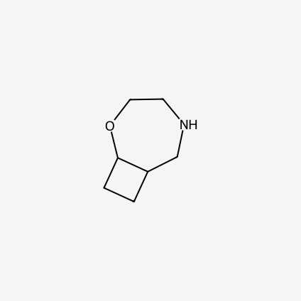 C1COC2CCC2CN1